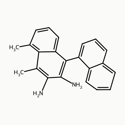 Cc1cccc2c(-c3cccc4ccccc34)c(N)c(N)c(C)c12